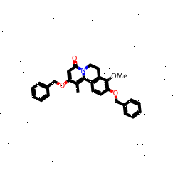 COc1c(OCc2ccccc2)ccc2c1CCn1c-2c(C)c(OCc2ccccc2)cc1=O